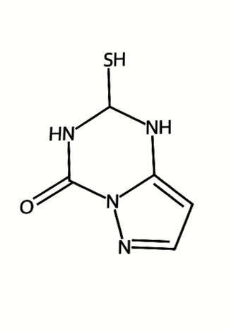 O=C1NC(S)Nc2ccnn21